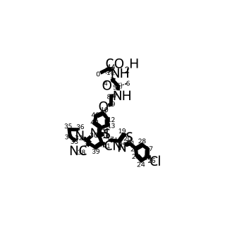 C[C@H](NC(=O)[C@H](C)NCCOc1ccc(C2(SCc3csc(-c4ccc(Cl)cc4)n3)NC(N3CCCC3)=C(C#N)C=C2C#N)cc1)C(=O)O